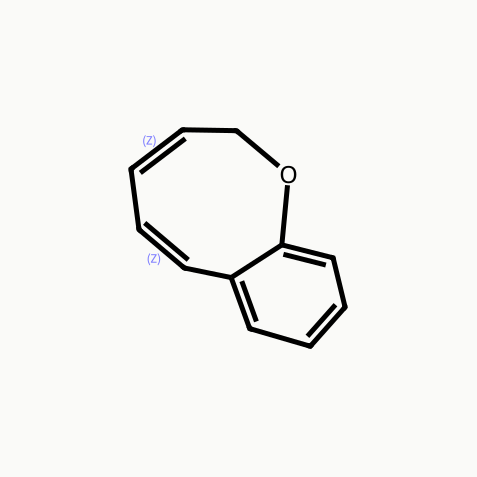 C1=C\COc2ccccc2\C=C/1